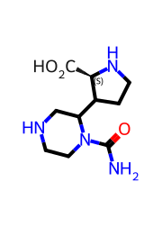 NC(=O)N1CCNCC1C1CCN[C@@H]1C(=O)O